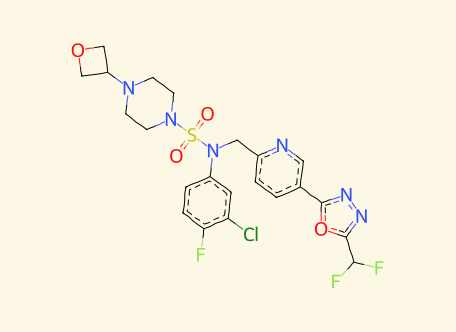 O=S(=O)(N1CCN(C2COC2)CC1)N(Cc1ccc(-c2nnc(C(F)F)o2)cn1)c1ccc(F)c(Cl)c1